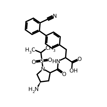 CC(C)S(=O)(=O)N1C[C@H](N)CC1C(=O)NC(Cc1ccc(-c2ccccc2C#N)cc1)C(=O)O